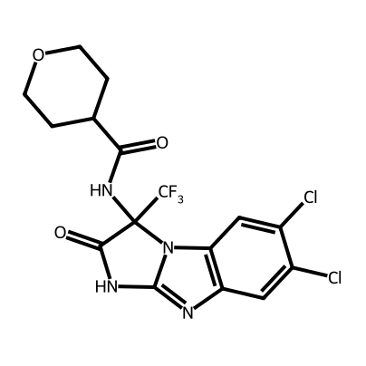 O=C(NC1(C(F)(F)F)C(=O)Nc2nc3cc(Cl)c(Cl)cc3n21)C1CCOCC1